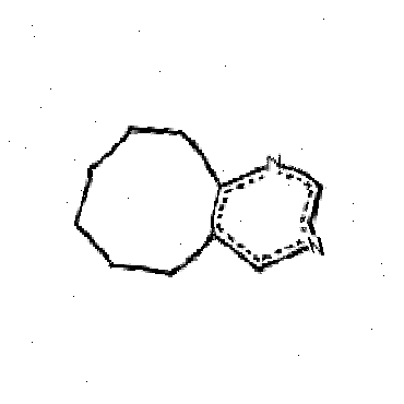 [c]1ncc2c(n1)CCCCCC2